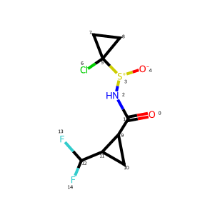 O=C(N[S+]([O-])C1(Cl)CC1)C1CC1C(F)F